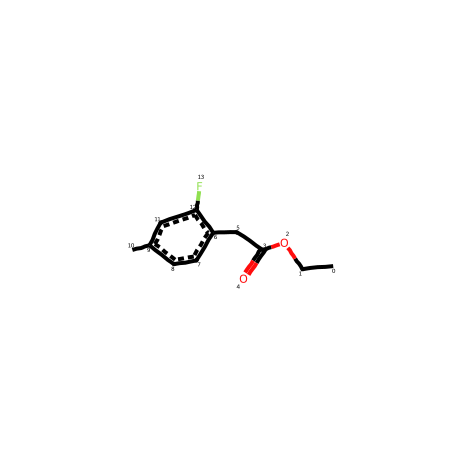 CCOC(=O)Cc1ccc(C)cc1F